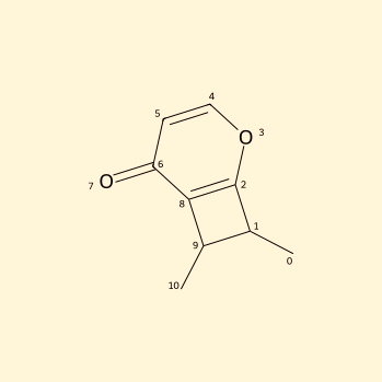 CC1c2occc(=O)c2C1C